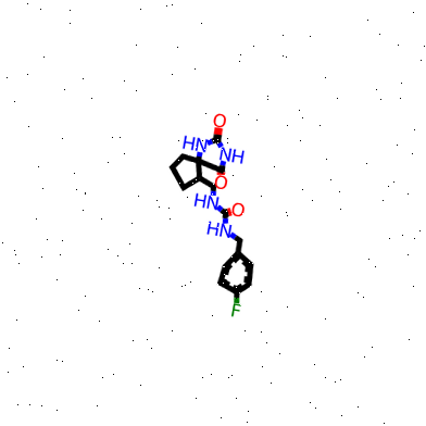 O=C(NCc1ccc(F)cc1)NCC1CCCC12NC(=O)NC2=O